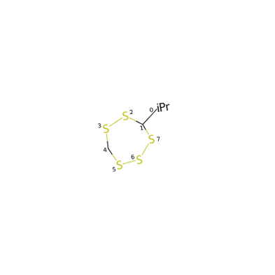 CC(C)C1SSCSSS1